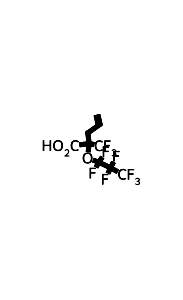 C=CCC(OC(F)(F)C(F)(F)C(F)(F)F)(C(=O)O)C(F)(F)F